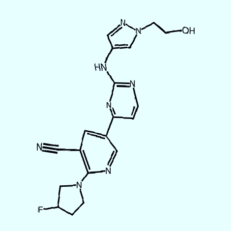 N#Cc1cc(-c2ccnc(Nc3cnn(CCO)c3)n2)cnc1N1CCC(F)C1